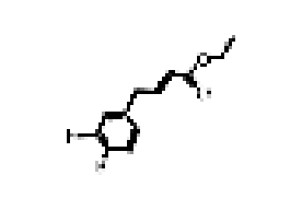 CCOC(=O)C=CCc1ccc(Br)c(F)c1